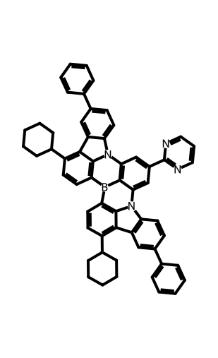 c1ccc(-c2ccc3c(c2)c2c(C4CCCCC4)ccc4c2n3-c2cc(-c3ncccn3)cc3c2B4c2ccc(C4CCCCC4)c4c5cc(-c6ccccc6)ccc5n-3c24)cc1